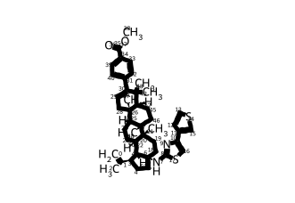 C=C(C)[C@@H]1CC[C@]2(Nc3nc(-c4ccsc4)cs3)CC[C@]3(C)[C@H](CC[C@@H]4[C@@]5(C)CC=C(c6ccc(C(=O)OC)cc6)C(C)(C)[C@@H]5CC[C@]43C)[C@@H]12